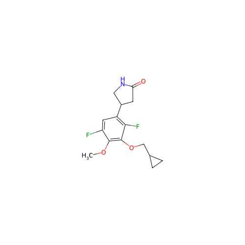 COc1c(F)cc(C2CNC(=O)C2)c(F)c1OCC1CC1